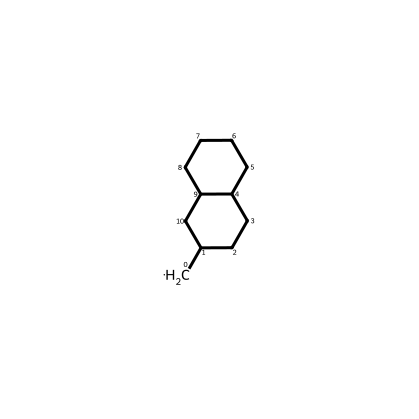 [CH2]C1CCC2CCCCC2C1